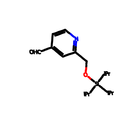 CC(C)[Si](OCc1cc(C=O)ccn1)(C(C)C)C(C)C